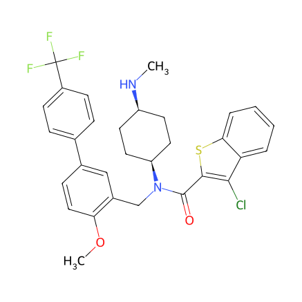 CN[C@H]1CC[C@@H](N(Cc2cc(-c3ccc(C(F)(F)F)cc3)ccc2OC)C(=O)c2sc3ccccc3c2Cl)CC1